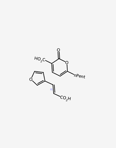 CCCCCc1ccc(C(=O)O)c(=O)o1.O=C(O)/C=C/c1ccoc1